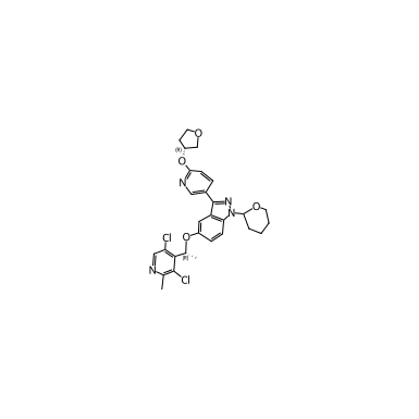 Cc1ncc(Cl)c([C@@H](C)Oc2ccc3c(c2)c(-c2ccc(O[C@@H]4CCOC4)nc2)nn3C2CCCCO2)c1Cl